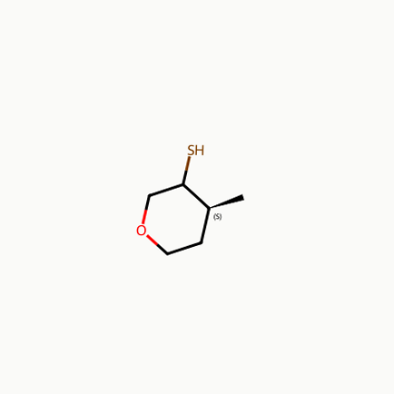 C[C@H]1CCOCC1S